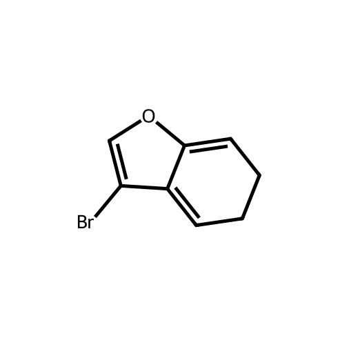 Brc1coc2c1=CCCC=2